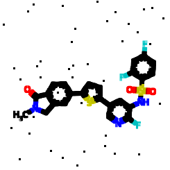 CN1Cc2cc(-c3ccc(-c4cnc(F)c(NS(=O)(=O)c5ccc(F)cc5F)c4)s3)ccc2C1=O